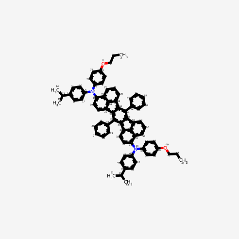 CCCOc1ccc(N(c2ccc(C(C)C)cc2)c2ccc3c4c(-c5ccccc5)c5c6ccc(N(c7ccc(OCCC)cc7)c7ccc(C(C)C)cc7)c7cccc(c5c(-c5ccccc5)c4c4cccc2c43)c76)cc1